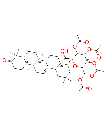 CC(=O)OCC1O[C@@H](C(O)[C@@]23CCC4C(=CCC5[C@@]4(C)CCC4C(C)(C)C(=O)CC[C@@]45C)C2CC(C)(C)CC3)C(OC(C)=O)C(OC(C)=O)[C@H]1OC(C)=O